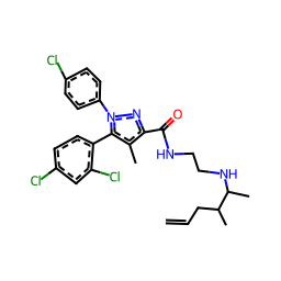 C=CCC(C)C(C)NCCNC(=O)c1nn(-c2ccc(Cl)cc2)c(-c2ccc(Cl)cc2Cl)c1C